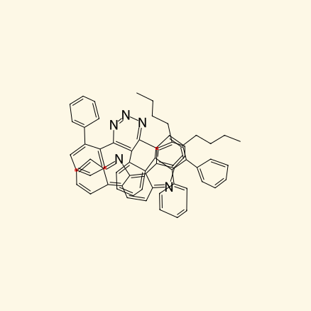 CCCCc1c(CCCC)c(-c2nnnc(-c3ccccc3-c3ccccc3)c2-c2ccccc2-c2ccccc2-c2ccccc2)c2c(c1-c1ccccc1)N=c1ccc3c(c1-2)N=c1ccccc1=3